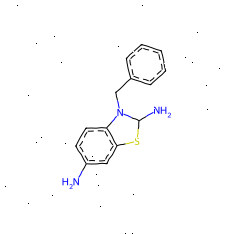 Nc1ccc2c(c1)SC(N)N2Cc1ccccc1